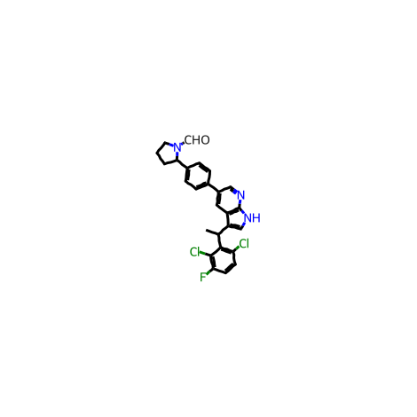 CC(c1c(Cl)ccc(F)c1Cl)c1c[nH]c2ncc(-c3ccc(C4CCCN4C=O)cc3)cc12